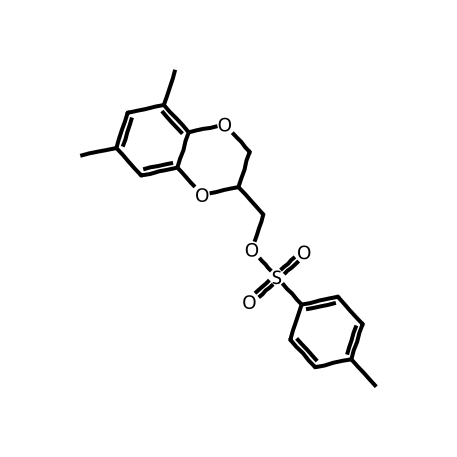 Cc1ccc(S(=O)(=O)OCC2COc3c(C)cc(C)cc3O2)cc1